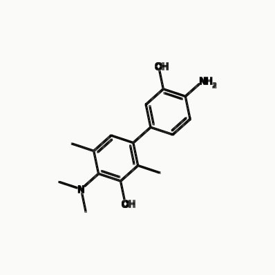 Cc1cc(-c2ccc(N)c(O)c2)c(C)c(O)c1N(C)C